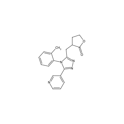 Cc1ccccc1-n1c(CC2CCOC2=O)nnc1-c1cccnc1